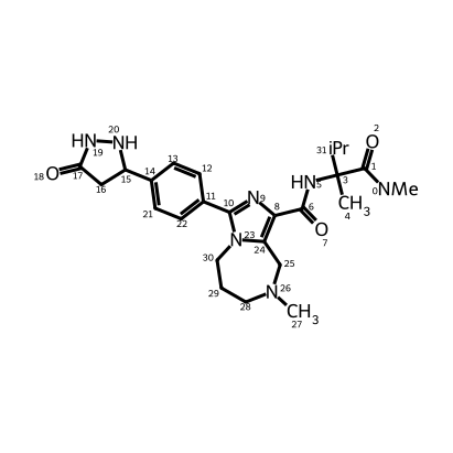 CNC(=O)C(C)(NC(=O)c1nc(-c2ccc(C3CC(=O)NN3)cc2)n2c1CN(C)CCC2)C(C)C